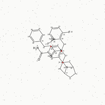 NC(=O)c1cccc(C2CC3CCC(C2)N3CCN(Cc2c(F)cccc2F)C(=O)[C@@H](O)Cc2ccccc2)c1